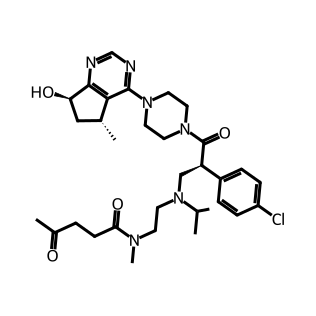 CC(=O)CCC(=O)N(C)CCN(C[C@@H](C(=O)N1CCN(c2ncnc3c2[C@H](C)C[C@H]3O)CC1)c1ccc(Cl)cc1)C(C)C